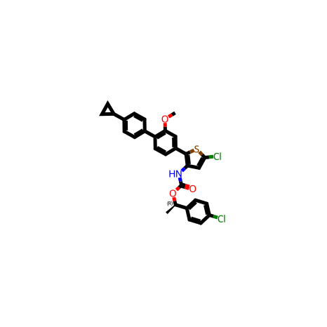 COc1cc(-c2sc(Cl)cc2NC(=O)O[C@H](C)c2ccc(Cl)cc2)ccc1-c1ccc(C2CC2)cc1